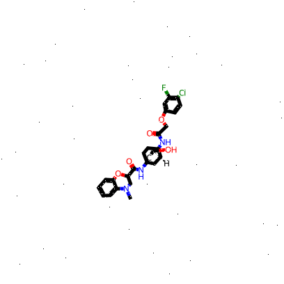 CN1CC(C(=O)NC23CCC(NC(=O)COc4ccc(Cl)c(F)c4)(CC2)[C@@H](O)C3)Oc2ccccc21